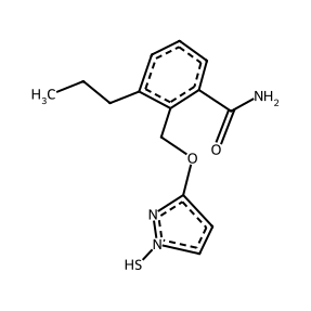 CCCc1cccc(C(N)=O)c1COc1ccn(S)n1